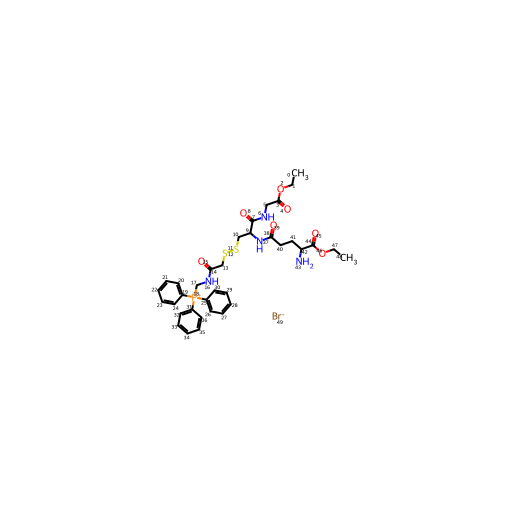 CCOC(=O)CNC(=O)C(CSSCC(=O)NC[P+](c1ccccc1)(c1ccccc1)c1ccccc1)NC(=O)CCC(N)C(=O)OCC.[Br-]